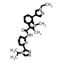 CCn1cc(-c2cccc3c(C(=O)Nc4cccc(-c5nncn5C(C)C)n4)c(C)n(C)c23)cn1